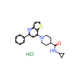 Cl.O=C(NC1CC1)C1CCN(c2cc(-c3ccccc3)nc3ccsc23)CC1